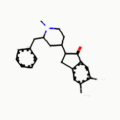 COc1cc2c(cc1OC)C(=O)C(C1CCN(C)C(Cc3ccccc3)C1)C2